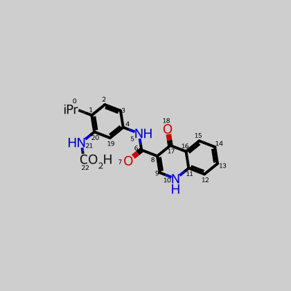 CC(C)c1ccc(NC(=O)c2c[nH]c3ccccc3c2=O)cc1NC(=O)O